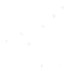 CCc1ncc(Nc2cc(CCC(=O)O)ccc2N(CC)C2CCOCC2)cn1